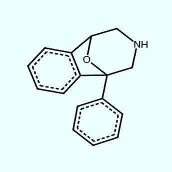 c1ccc(C23CNCC(O2)c2ccccc23)cc1